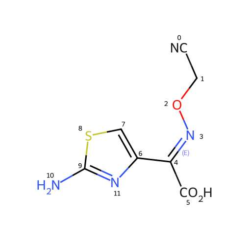 N#CCO/N=C(/C(=O)O)c1csc(N)n1